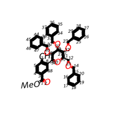 COC(=O)c1ccc(C)c([C@@H]2O[C@H](COCc3ccccc3)[C@@H](OCc3ccccc3)[C@H](OCc3ccccc3)[C@H]2OCc2ccccc2)c1